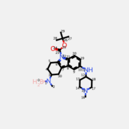 BN(C)C1CCc2c(c3cc(NC4CCN(C)CC4)ccc3n2C(=O)OC(C)(C)C)C1